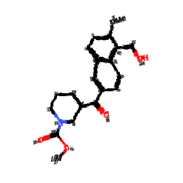 COc1ccc2cc(C(=O)C3CCCN(C(=O)OC(C)(C)C)C3)ccc2c1CO